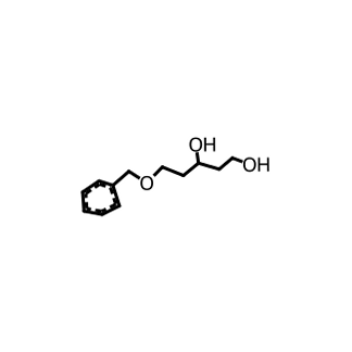 OCCC(O)CCOCc1ccccc1